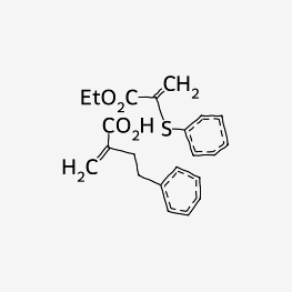 C=C(CCc1ccccc1)C(=O)O.C=C(Sc1ccccc1)C(=O)OCC